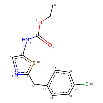 CCOC(=O)Nc1cnc(Cc2ccc(Cl)cc2)s1